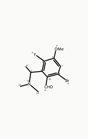 [CH2]C(c1c(F)c(OC)cc(Br)c1C=O)N(C)C